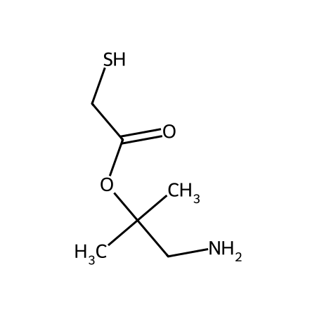 CC(C)(CN)OC(=O)CS